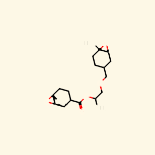 CC(COCC1CCC2(C)OC2C1)OC(=O)C1CCC2(C)OC2C1